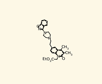 CCOC(=O)Cn1c(=O)c(C)c(C)c2cc(CCN3CCN(c4noc5ccccc45)CC3)ccc21